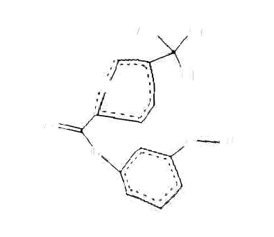 C=C(Nc1cccc(OC)c1)c1ccc(C(C)(C)C)cc1